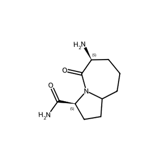 NC(=O)[C@@H]1CCC2CCC[C@H](N)C(=O)N21